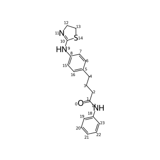 O=C(CCCc1ccc(NC2=NCCS2)cc1)Nc1ccccc1